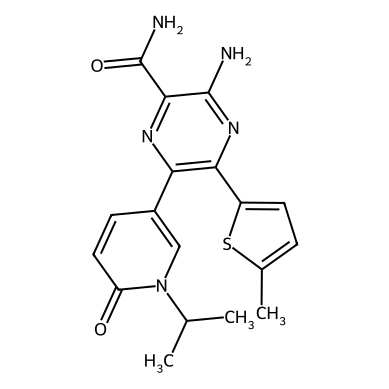 Cc1ccc(-c2nc(N)c(C(N)=O)nc2-c2ccc(=O)n(C(C)C)c2)s1